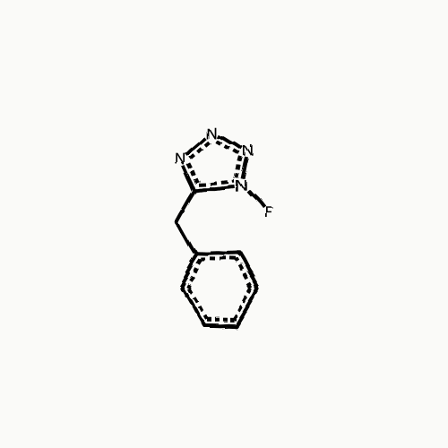 Fn1nnnc1Cc1ccccc1